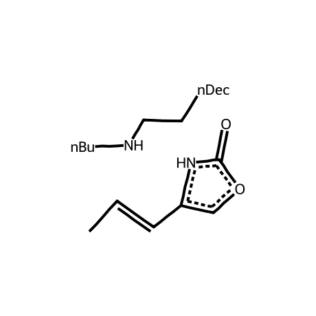 CC=Cc1coc(=O)[nH]1.CCCCCCCCCCCCNCCCC